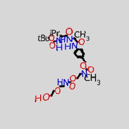 CC(NC(=O)C(NC(=O)OC(C)(C)C)C(C)C)C(=O)Nc1ccc(COC(=O)N(C)CCOC(=O)NCCOCCO)cc1